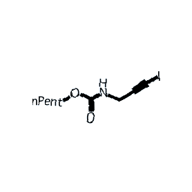 CCCCCOC(=O)NCC#CI